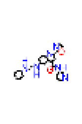 O=C(Nc1cccnc1)c1cc(-c2ncco2)nc2ccc(NCCNc3ccccc3)cc12